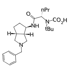 CCC[C@@H](C(=O)N[C@@H]1CC[C@H]2CN(Cc3ccccc3)C[C@H]21)N(C(=O)O)C(C)(C)C